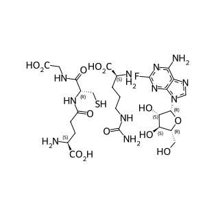 NC(=O)NCCC[C@H](N)C(=O)O.N[C@@H](CCC(=O)N[C@@H](CS)C(=O)NCC(=O)O)C(=O)O.Nc1nc(F)nc2c1ncn2[C@@H]1O[C@H](CO)[C@@H](O)[C@@H]1O